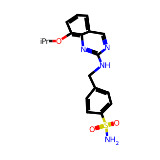 CC(C)Oc1cccc2cnc(NCc3ccc(S(N)(=O)=O)cc3)nc12